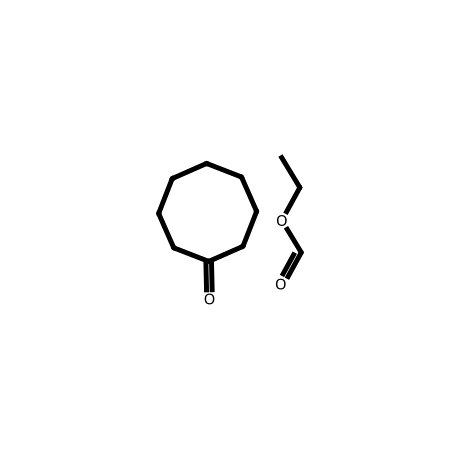 CCOC=O.O=C1CCCCCCC1